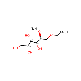 O=C(O)COCC(=O)[C@H](O)[C@@H](O)[C@H](O)CO.[NaH]